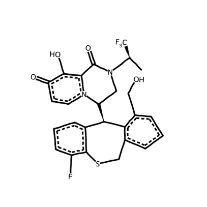 C[C@@H](N1CC([C@@H]2c3cccc(F)c3SCc3cccc(CO)c32)n2ccc(=O)c(O)c2C1=O)C(F)(F)F